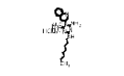 CCCCCCCCNC1=NC(C)(C)N(c2cnc3ccccc3c2)C(N)=N1.Cl.Cl